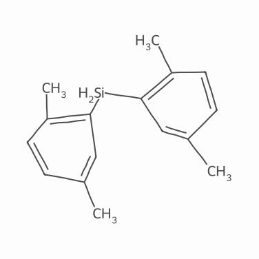 Cc1ccc(C)c([SiH2]c2cc(C)ccc2C)c1